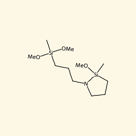 CO[Si](C)(CCCN1CCC[Si]1(C)OC)OC